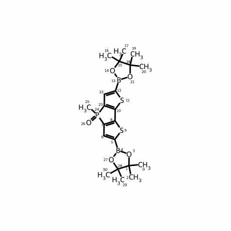 CC1(C)OB(c2cc3c(s2)-c2sc(B4OC(C)(C)C(C)(C)O4)cc2P3(C)=O)OC1(C)C